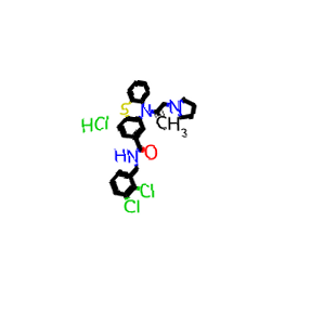 C[C@H](CN1CCCC1)N1c2ccccc2Sc2ccc(C(=O)NCc3cccc(Cl)c3Cl)cc21.Cl